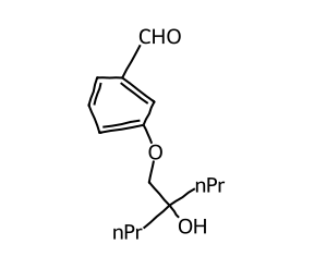 CCCC(O)(CCC)COc1cccc(C=O)c1